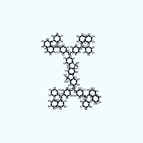 CC1(C)c2cc(N(c3ccc(N(c4ccccc4)c4cccc5ccccc45)cc3)c3ccc(N(c4ccccc4)c4cccc5ccccc45)cc3)ccc2-c2cc3c(cc21)-c1ccc(N(c2ccc(N(c4ccccc4)c4cccc5ccccc45)cc2)c2ccc(N(c4ccccc4)c4cccc5ccccc45)cc2)cc1C3(C)C